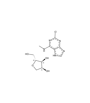 CNc1nc(Cl)nc2nc[nH]c12.OC[C@H]1OC[C@H](O)[C@@H]1O